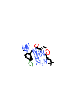 CC[C@H](NC(=O)[C@H](N)CC(C)(C)C)C(=O)NCc1cc(Cl)ccc1-n1cnnn1